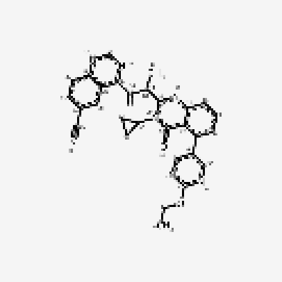 CCOc1ncc(-c2cccc3nc([C@H](C)Nc4ncnc5ccc(C#N)cc45)n(C4CC4)c(=O)c23)cn1